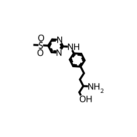 CS(=O)(=O)c1cnc(Nc2ccc(CCC(N)CO)cc2)nc1